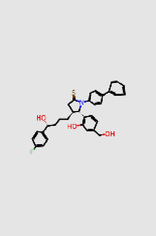 OCc1ccc([C@@H]2[C@@H](CCC[C@@H](O)c3ccc(F)cc3)CC(=S)N2c2ccc(-c3ccccc3)cc2)c(O)c1